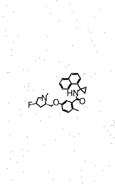 Cc1ccc(OC[C@H]2C[C@@H](F)CN2C)cc1C(=O)NC1(c2cccc3ccccc23)CC1